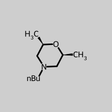 CCCCN1C[C@@H](C)O[C@@H](C)C1